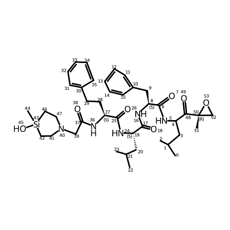 CC(C)CC(NC(=O)[C@H](Cc1ccccc1)NC(=O)[C@H](CC(C)C)NC(=O)[C@H](CCc1ccccc1)NC(=O)CN1CC[Si](C)(O)CC1)C(=O)[C@@]1(C)CO1